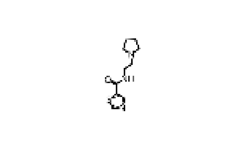 O=C(NCCN1CCCC1)c1cncs1